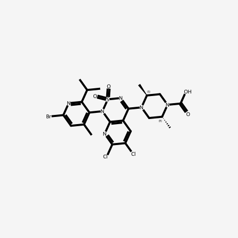 Cc1cc(Br)nc(C(C)C)c1N1c2nc(Cl)c(Cl)cc2C(N2C[C@@H](C)N(C(=O)O)C[C@@H]2C)=NS1(=O)=O